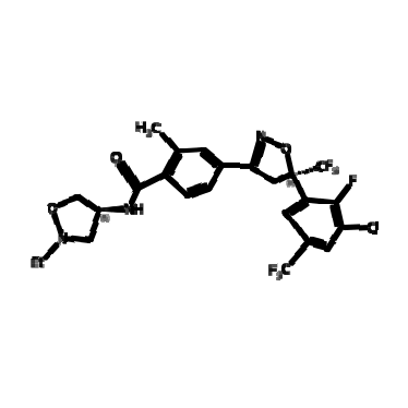 CCN1C[C@H](NC(=O)c2ccc(C3=NO[C@](c4cc(C(F)(F)F)cc(Cl)c4F)(C(F)(F)F)C3)cc2C)CO1